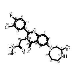 CCC1CN(c2ccc3nc(-c4ccc(F)c(Cl)c4)n(CC(=O)NC(C)C)c(=O)c3c2)CCCN1